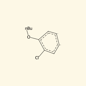 CCCCOc1c[c][c]cc1Cl